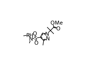 COC(=O)C(C)(C)n1cc(S(=O)(=O)N(C)PC)c(C)n1